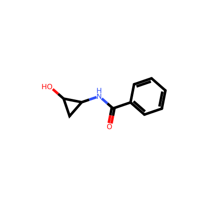 O=C(NC1CC1O)c1ccccc1